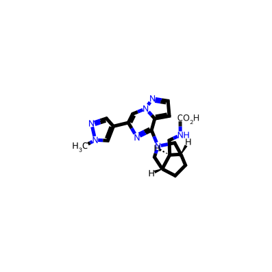 Cn1cc(-c2cn3nccc3c(N3C[C@H]4CC[C@@H](C3)[C@@H]4CNC(=O)O)n2)cn1